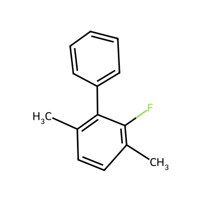 Cc1ccc(C)c(-c2ccccc2)c1F